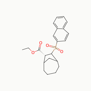 CCOC(=O)[C@H]1C2CCCCC(C2)C1S(=O)(=O)c1ccc2ccccc2c1